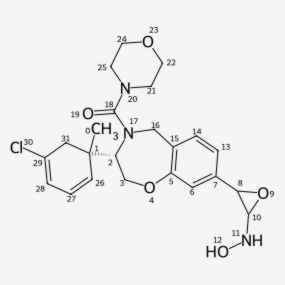 CC1([C@H]2COc3cc(C4OC4NO)ccc3CN2C(=O)N2CCOCC2)C=CC=C(Cl)C1